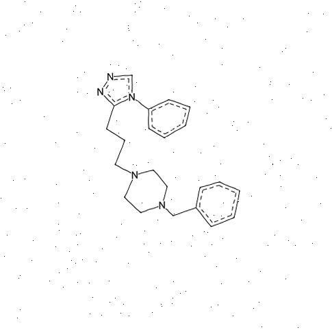 c1ccc(CN2CCN(CCCc3nncn3-c3ccccc3)CC2)cc1